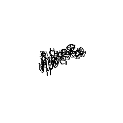 CN=C/N=C(\NC[C@H](NC(=O)c1c(Cl)cc2c(c1Cl)CCN(C(=O)c1ccc3ccoc3c1)C2)C(=O)O)N1CCCC1